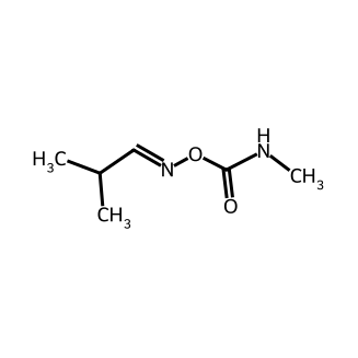 CNC(=O)O/N=C/C(C)C